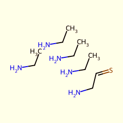 CCN.CCN.CCN.CCN.NCC=S